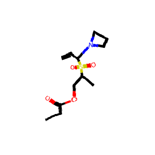 C=CC(N1CCC1)S(=O)(=O)C(C)COC(=O)CC